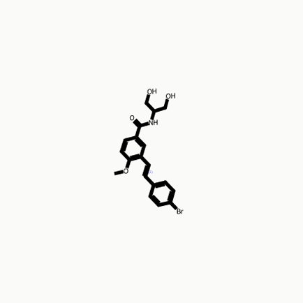 COc1ccc(C(=O)NC(CO)CO)cc1/C=C/c1ccc(Br)cc1